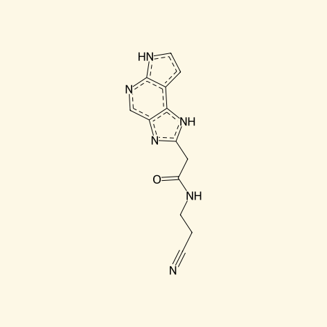 N#CCCNC(=O)Cc1nc2cnc3[nH]ccc3c2[nH]1